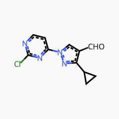 O=Cc1cn(-c2ccnc(Cl)n2)nc1C1CC1